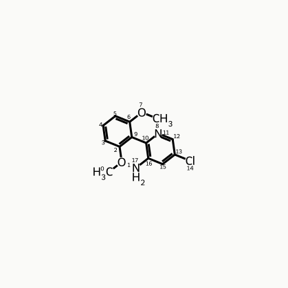 COc1cccc(OC)c1-c1ncc(Cl)cc1N